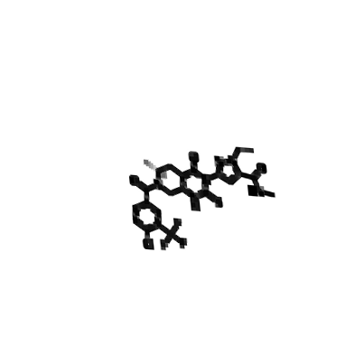 CCn1nc(-n2c(=S)[nH]c3c(c2=O)C[C@@H](C)N(C(=O)c2ccc(Cl)c(C(F)(F)F)c2)C3)cc1C(=O)NC